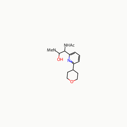 CNC(O)C(NC(C)=O)c1cccc(C2CCOCC2)n1